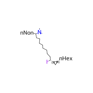 CCCCCCCCCC(CCCCCCCCC(I)[C@H]1C[C@H]1CCCCCC)N(C)C